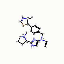 C=CN(Cc1ccc(-c2scnc2C)cc1)c1c[nH]c(C2CCCN2C)n1